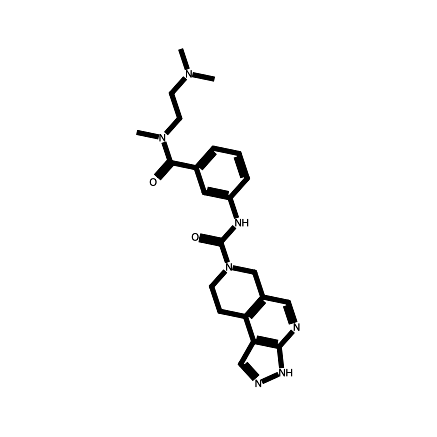 CN(C)CCN(C)C(=O)c1cccc(NC(=O)N2CCc3c(cnc4[nH]ncc34)C2)c1